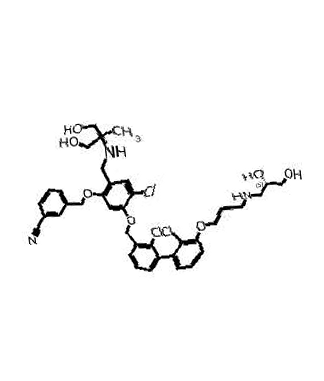 CC(CO)(CO)NCc1cc(Cl)c(OCc2cccc(-c3cccc(OCCCNC[C@H](O)CO)c3Cl)c2Cl)cc1OCc1cccc(C#N)c1